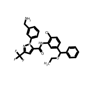 CCOC(c1ccccc1)c1ccc(Cl)c(NC(=O)c2cc(C(F)(F)F)nn2-c2cccc(CN)c2)c1